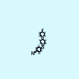 CC1CCN(C2CCN(Sc3ccc(C#N)cc3)CC2)CC1